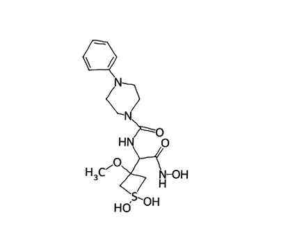 COC1(C(NC(=O)N2CCN(c3ccccc3)CC2)C(=O)NO)CS(O)(O)C1